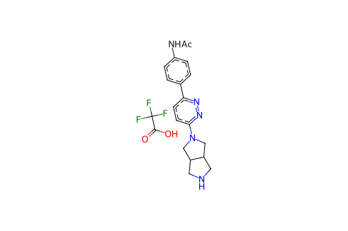 CC(=O)Nc1ccc(-c2ccc(N3CC4CNCC4C3)nn2)cc1.O=C(O)C(F)(F)F